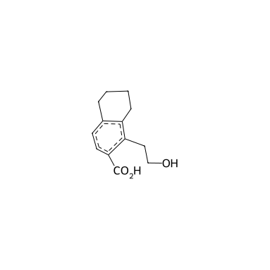 O=C(O)c1ccc2c(c1CCO)CCCC2